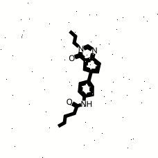 CCCCC(=O)Nc1ccc(-c2ccc3ncn(CCC)c(=O)c3c2)cc1